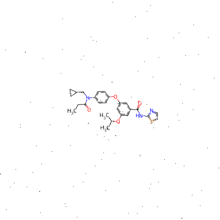 CCC(=O)N(CC1CC1)c1ccc(Oc2cc(OC(C)C)cc(C(=O)Nc3nccs3)c2)cc1